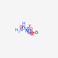 CC(C)=CCn1c(C2CNC(=O)C(N)C2)nc2c1c(=O)n(CC(=O)c1ccccc1)c(=O)n2C